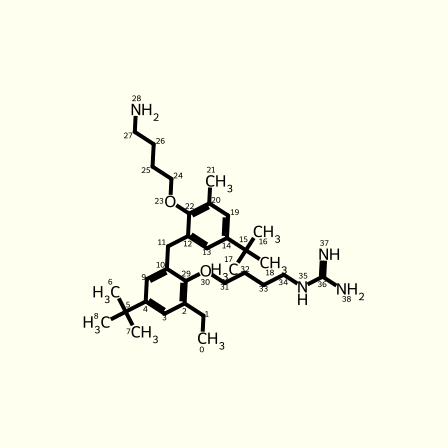 CCc1cc(C(C)(C)C)cc(Cc2cc(C(C)(C)C)cc(C)c2OCCCCN)c1OCCCCNC(=N)N